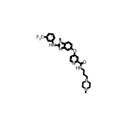 CN1CCN(CCCNC(=O)c2cc(Oc3ccc4c(c3)nc(Nc3cccc(C(F)(F)F)c3)n4C)ccn2)CC1